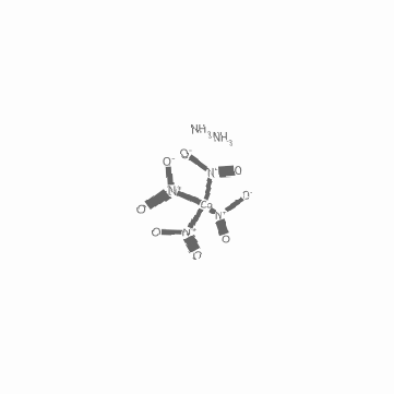 N.N.O=[N+]([O-])[Co]([N+](=O)[O-])([N+](=O)[O-])[N+](=O)[O-]